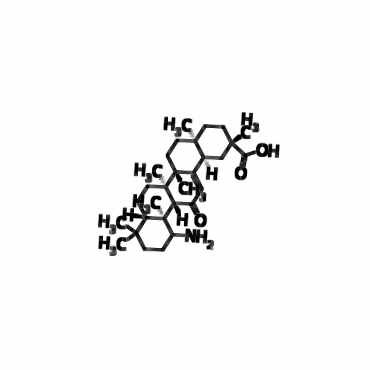 CC1(C)CCC(N)[C@]2(C)[C@H]3C(=O)C=C4[C@@H]5C[C@@](C)(C(=O)O)CC[C@]5(C)CC[C@@]4(C)[C@]3(C)CC[C@@H]12